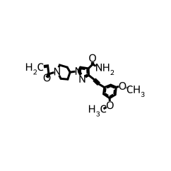 C=CC(=O)N1CCC(n2cc(C(N)=O)c(C#Cc3cc(OC)cc(OC)c3)n2)CC1